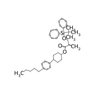 C=C(CO[Si](c1ccccc1)(c1ccccc1)C(C)(C)C)C(=O)OC1CCC(c2ccc(CCCCC)cc2)CC1